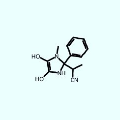 CC(C#N)C1(c2ccccc2)NC(O)=C(O)N1C